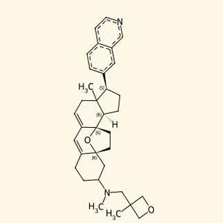 CN(CC1(C)COC1)C1CCC2=CC3=CCC4(C)[C@@H](c5ccc6ccncc6c5)CC[C@H]4[C@@]34CC[C@]2(C1)O4